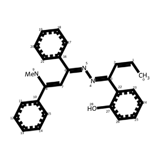 C\C=C/C(=N\N=C(/C=C(\NC)c1ccccc1)c1ccccc1)c1ccccc1O